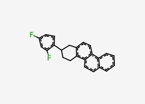 Fc1ccc(C2CCc3c(ccc4c3ccc3ccccc34)C2)c(F)c1